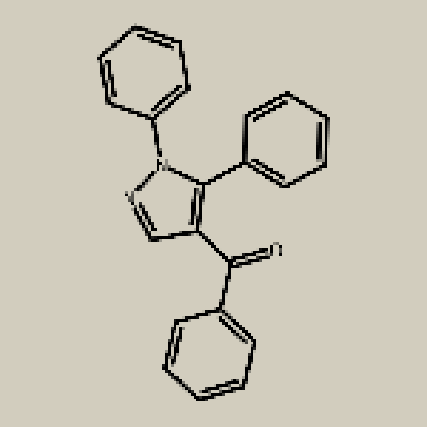 O=C(c1ccccc1)c1cnn(-c2ccccc2)c1-c1ccccc1